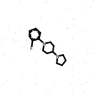 Fc1c[c]ccc1N1CCC(N2CCCC2)CC1